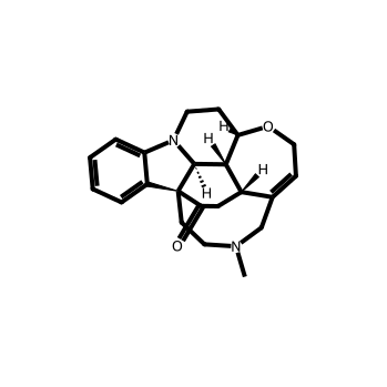 CN1CC[C@]23C(=O)C[C@H]4C(=CCO[C@H]5CCN(c6ccccc62)[C@H]3[C@H]54)C1